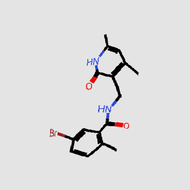 Cc1cc(C)c(CNC(=O)c2cc(Br)ccc2C)c(=O)[nH]1